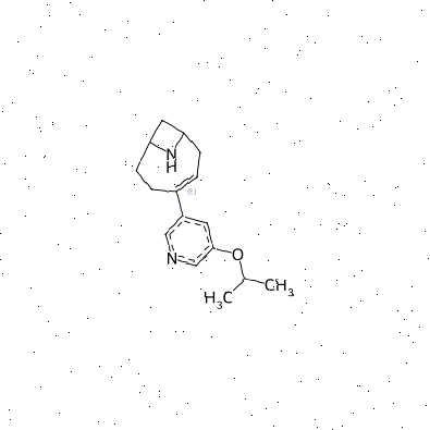 CC(C)Oc1cncc(/C2=C/CC3CC(CC2)N3)c1